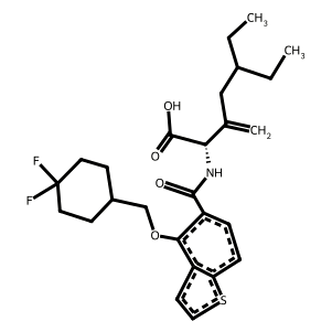 C=C(CC(CC)CC)[C@H](NC(=O)c1ccc2sccc2c1OCC1CCC(F)(F)CC1)C(=O)O